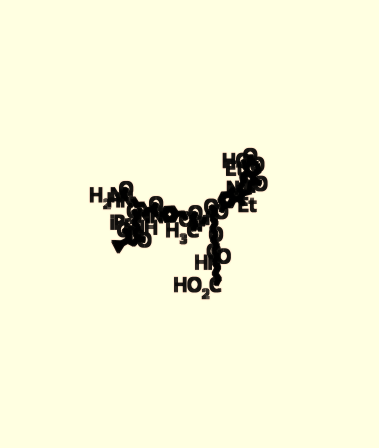 CCc1c2c(nc3ccc(OC(=O)N(CCOCCOC(=O)NCCCC(=O)O)CCN(C)C(=O)OCc4ccc(NC(=O)[C@H](CCCNC(N)=O)NC(=O)[C@@H](NN5C(=O)CC(C6CC6)C5=O)C(C)C)cc4)cc13)-c1cc3c(c(=O)n1C2)COC(=O)C3(O)CC